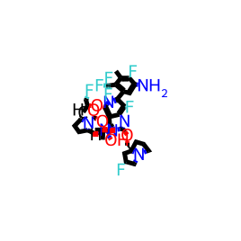 Cc1c(F)c(N)cc(-c2nc3c4c(nc(OC[C@@]56CCCN5C[C@H](F)C6)nc4c2F)N(O)C[C@H]2CC[C@@H](CC(CF)O3)N2C(=O)OC(C)(C)C)c1C(F)(F)F